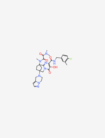 Cc1cc(CNC(=O)c2nc3n(c(=O)c2O)CC2(N4CCn5nccc5C4)CCC3(N(C)C(=O)C(=O)N(C)C)CC2)ccc1F